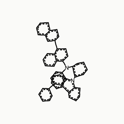 c1ccc(-c2ccc(N(c3ccccc3-n3c4ccccc4c4ccccc43)c3ccc(-c4ccc5ccccc5c4)c4ccccc34)cc2)cc1